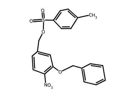 Cc1ccc(S(=O)(=O)OCc2ccc([N+](=O)[O-])c(OCc3ccccc3)c2)cc1